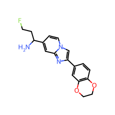 NC(CCF)c1ccn2cc(-c3ccc4c(c3)OCCO4)nc2c1